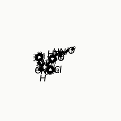 COCCNC(=O)Nc1ccc(C2=NC(Cc3ccccc3)C(=O)Nc3ccc(Cl)cc32)cc1